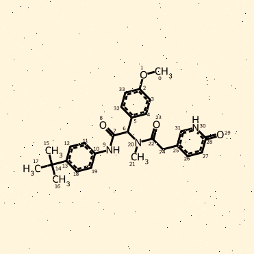 COc1ccc(C(C(=O)Nc2ccc(C(C)(C)C)cc2)N(C)C(=O)Cc2ccc(=O)[nH]c2)cc1